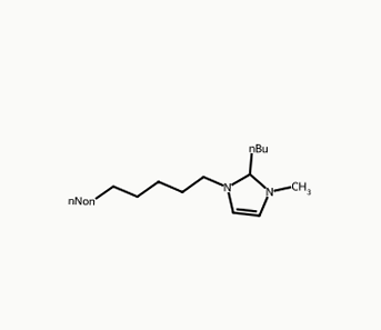 CCCCCCCCCCCCCCN1C=CN(C)C1CCCC